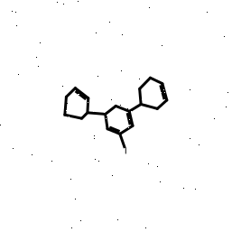 IC1=CC(C2C=CCCC2)CC(C2CC=CCC2)=C1